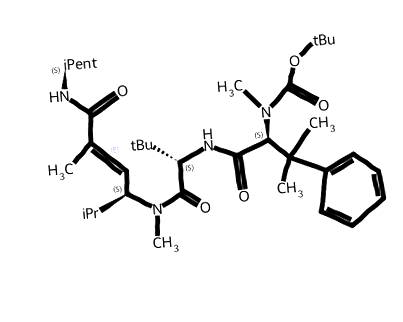 CCC[C@H](C)NC(=O)/C(C)=C/[C@H](C(C)C)N(C)C(=O)[C@@H](NC(=O)[C@@H](N(C)C(=O)OC(C)(C)C)C(C)(C)c1ccccc1)C(C)(C)C